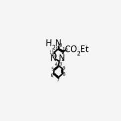 CCOC(=O)c1nc(-c2ccccc2)ncc1N